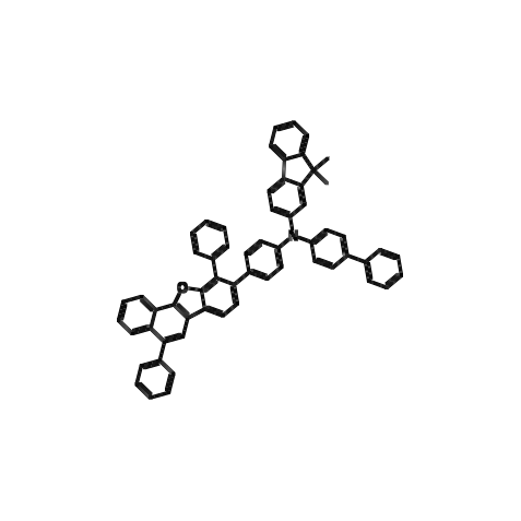 CC1(C)c2ccccc2-c2ccc(N(c3ccc(-c4ccccc4)cc3)c3ccc(-c4ccc5c(oc6c7ccccc7c(-c7ccccc7)cc56)c4-c4ccccc4)cc3)cc21